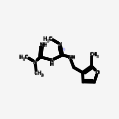 C/N=C(/NCc1ccoc1C)NC(=N)N(C)C